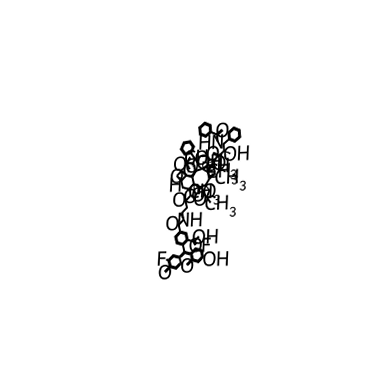 CC(=O)O[C@H]1C(=O)[C@@]2(C)C([C@H](OC(=O)c3ccccc3)[C@]3(O)C[C@H](OC(=O)[C@H](O)[C@@H](NC(=O)c4ccccc4)c4ccccc4)C(C)=C1C3(C)C)[C@]1(OC(C)=O)CO[C@@H]1C[C@@H]2OC(=O)CCNC(=O)c1ccc(-c2c3cc(F)c(=O)cc-3oc3cc(O)c(F)cc23)c(C(=O)O)c1